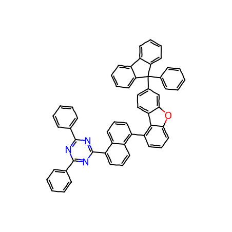 c1ccc(-c2nc(-c3ccccc3)nc(-c3cccc4c(-c5cccc6oc7cc(C8(c9ccccc9)c9ccccc9-c9ccccc98)ccc7c56)cccc34)n2)cc1